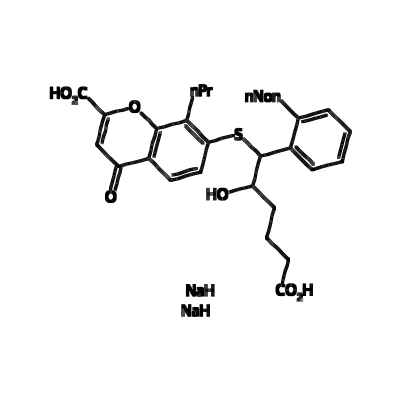 CCCCCCCCCc1ccccc1C(Sc1ccc2c(=O)cc(C(=O)O)oc2c1CCC)C(O)CCCC(=O)O.[NaH].[NaH]